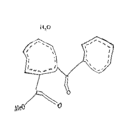 COC(=O)c1ccccc1C(=O)c1ccccc1.O